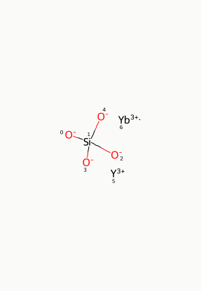 [O-][Si]([O-])([O-])[O-].[Y+3].[Yb+3]